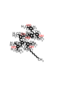 CCCCCCCCCCC.Cc1c(Cc2cc(C(C)(C)C)c(O)c(C(C)(C)C)c2)c(C)c(Cc2cc(C(C)(C)C)c(O)c(C(C)(C)C)c2)c(C)c1Cc1cc(C(C)(C)C)c(O)c(C(C)(C)C)c1.Cc1cc(O)c(C(C)(C)C)cc1C(C)CC(c1cc(C(C)(C)C)c(O)cc1C)c1cc(C(C)(C)C)c(O)cc1C